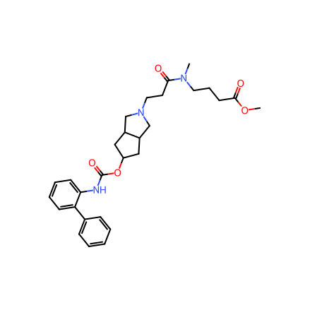 COC(=O)CCCN(C)C(=O)CCN1CC2CC(OC(=O)Nc3ccccc3-c3ccccc3)CC2C1